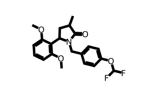 COc1cccc(OC)c1C1CC(C)C(=O)N1Cc1ccc(OC(F)F)cc1